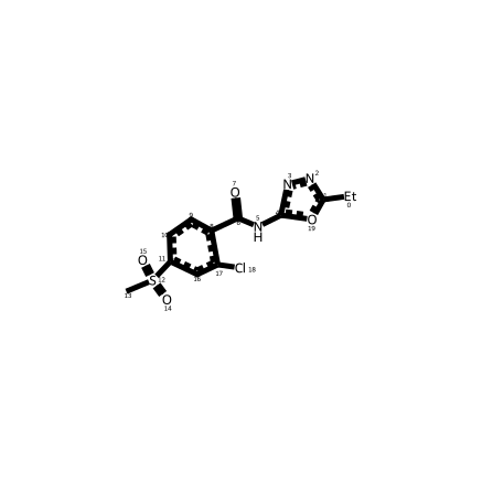 CCc1nnc(NC(=O)c2ccc(S(C)(=O)=O)cc2Cl)o1